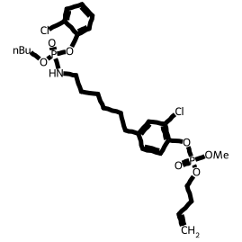 C=CCCOP(=O)(OC)Oc1ccc(CCCCCCNP(=O)(OCCCC)Oc2ccccc2Cl)cc1Cl